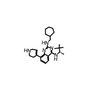 C[C@@H](Nc1nc(NCC2CCCCC2)nc2c(C3=CCNCC3)cccc12)C(C)(C)C